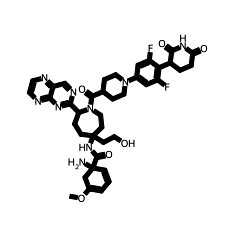 COC1=CC=CC(N)(C(=O)NC2(CCO)CCC(c3ncc4nccnc4n3)N(C(=O)C3CCN(c4cc(F)c(C5CCC(=O)NC5=O)c(F)c4)CC3)CC2)C1